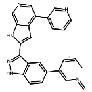 C=N/C=C(\C=C/C)c1ccc2[nH]nc(-c3cc4c(-c5cccnc5)cncc4[nH]3)c2c1